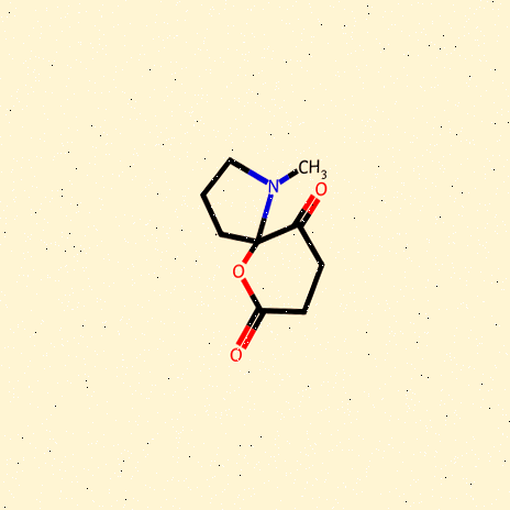 CN1CC[CH]C12OC(=O)CCC2=O